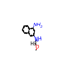 COBNc1cc(N)c2ccccc2c1